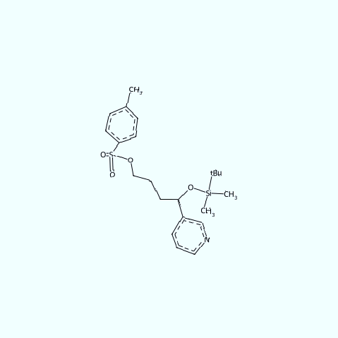 Cc1ccc(S(=O)(=O)OCCCC(O[Si](C)(C)C(C)(C)C)c2cccnc2)cc1